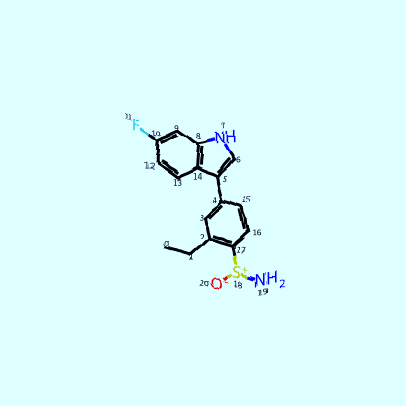 CCc1cc(-c2c[nH]c3cc(F)ccc23)ccc1[S+](N)[O-]